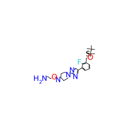 CC(C)(C)[Si](C)(C)OCc1cccc(-c2cnc(N3CCC(=NOCCN)CC3)nc2)c1F